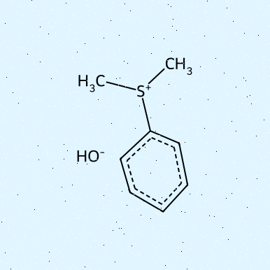 C[S+](C)c1ccccc1.[OH-]